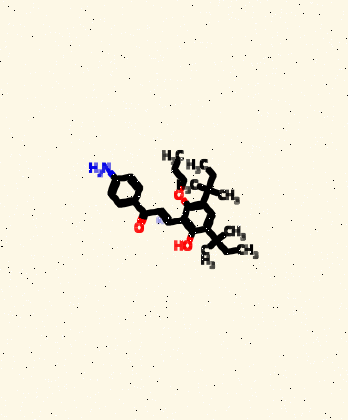 CCCOc1c(C(C)(C)CC)cc(C(C)(C)CC)c(O)c1/C=C/C(=O)c1ccc(N)cc1